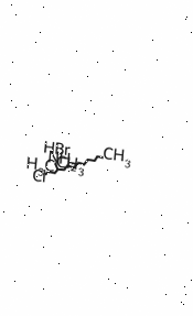 Br.CCCCCCCCCCC(CCCl)C(C)(C)N